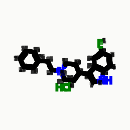 Cl.Fc1ccc2[nH]cc(C3CCN(CCc4ccccc4)CC3)c2c1